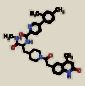 CNC(=O)C(CC1CCN(C(=O)Cc2ccc3[nH]c(=O)cc(C)c3c2)CC1)NC(=O)c1ccc(-c2ccc(C)cc2C)cn1